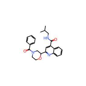 CC(C)CNC(=O)c1cc(C2CN(C(=O)c3ccccc3)CCO2)nc2ccccc12